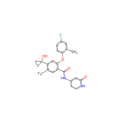 Cc1cc(F)ccc1Oc1cc(C2(O)CC2)c(C(F)(F)F)cc1C(=O)Nc1cc[nH]c(=O)c1